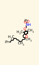 Cc1cc2c(c(C)c1OCCNC(=O)OC(C)C)CCC(C)(CCCC(C)CCCC(C)CCCC(C)C)O2